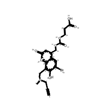 C#CCN(C)Cc1c(O)c(Br)cc2c(COC(=O)OCCC(=O)O)cc(=O)oc12